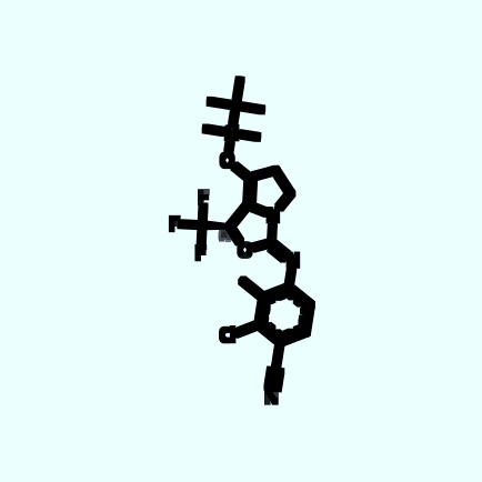 Cc1c(N=C2O[C@@H](C(F)(F)F)C3=C(O[Si](C)(C)C(C)(C)C)CCN23)ccc(C#N)c1Cl